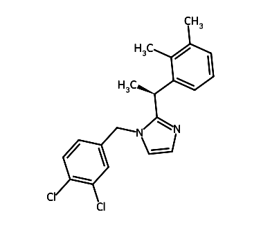 Cc1cccc([C@H](C)c2nccn2Cc2ccc(Cl)c(Cl)c2)c1C